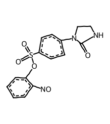 O=Nc1ccccc1OS(=O)(=O)c1ccc(N2CCNC2=O)cc1